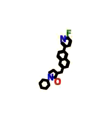 O=C1C(Cc2ccc3cc(-c4ccc(F)nc4)ccc3c2)CCN1C1CCCCC1